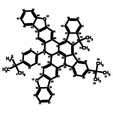 CC(C)(C)c1ccc(N2B3c4cc5oc6ccccc6c5cc4-n4c5ccc(C(C)(C)C)cc5c5c6c(c(c3c54)-c3cc4oc5ccccc5c4cc32)-c2ccccc2[Si]6(C)C)cc1